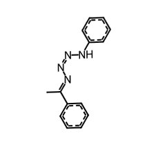 C/C(=N\N=N/Nc1ccccc1)c1ccccc1